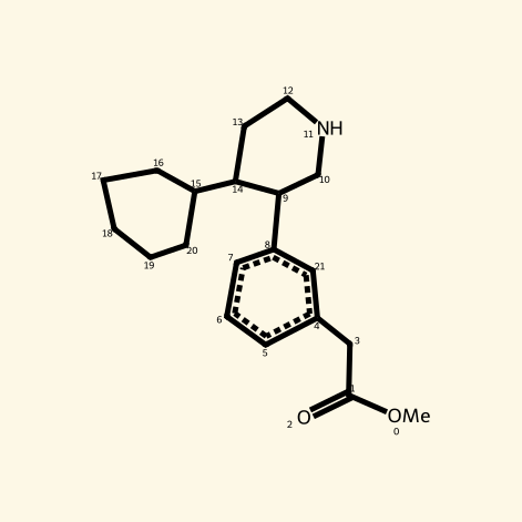 COC(=O)Cc1cccc(C2CNCCC2C2CCCCC2)c1